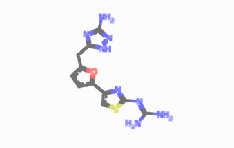 NC(N)=Nc1nc(-c2ccc(Cc3nc(N)n[nH]3)o2)cs1